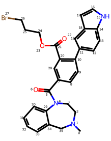 CN1CCN(C(=O)c2ccc(-c3ccc4[nH]ccc4c3)c(C(=O)OCCCBr)c2)c2ccccc2C1